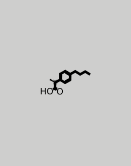 CCCCc1ccc([C@H](C)C(=O)O)cc1